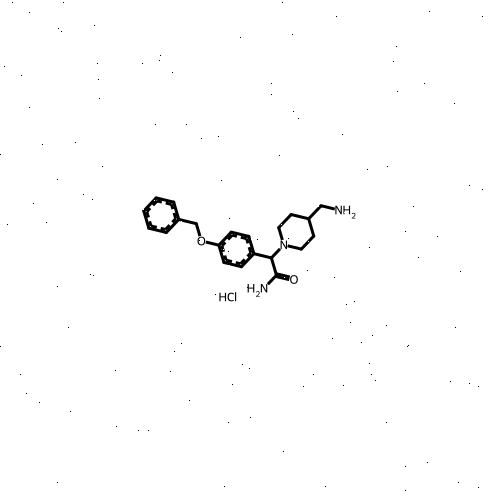 Cl.NCC1CCN(C(C(N)=O)c2ccc(OCc3ccccc3)cc2)CC1